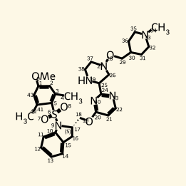 COc1cc(C)c(S(=O)(=O)N2c3ccccc3C[C@H]2COc2ccnc(C3CN(OCC4CCN(C)CC4)CCN3)n2)c(C)c1